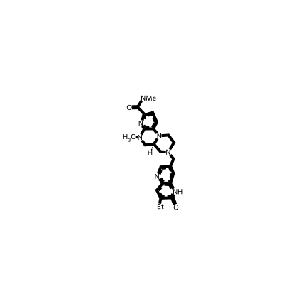 CCc1cc2ncc(CN3CCN4c5ccc(C(=O)NC)nc5N(C)C[C@@H]4C3)cc2[nH]c1=O